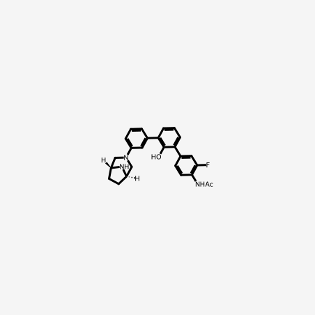 CC(=O)Nc1ccc(-c2cccc(-c3cccc(N4C[C@H]5CC[C@H](C4)N5)c3)c2O)cc1F